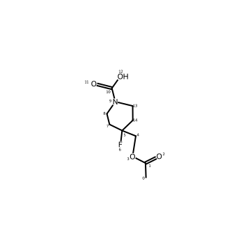 CC(=O)OCC1(F)CCN(C(=O)O)CC1